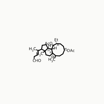 CC[C@@H]1CC[C@H](OC(C)=O)CCC(C)[C@H]2CCC3(C)C([C@H](C)CCC=O)CC[C@H]3[C@@H]2[C@@H]1OC(C)=O